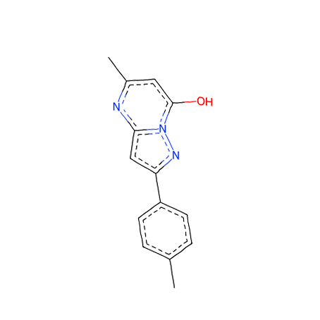 Cc1ccc(-c2cc3nc(C)cc(O)n3n2)cc1